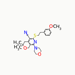 COc1cccc(CCSc2nc(N3CCOCC3)c3c(c2C#N)CC(C)(C)OC3)c1